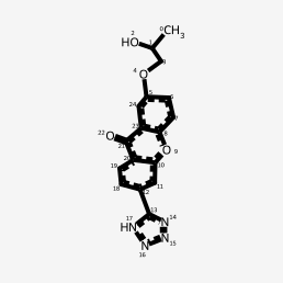 CC(O)COc1ccc2oc3cc(-c4nnn[nH]4)ccc3c(=O)c2c1